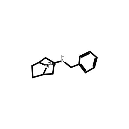 CC(C)(C)N1C2CCC1CC(NCc1ccccc1)C2